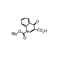 CC(C)(C)OC(=O)n1cc(C(=O)O)c(=O)c2ccccc21